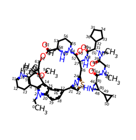 CCn1c(C2=C([C@H](C)OC)N=CCC2)c2c3cc(ccc31)-c1csc(n1)C[C@H](NC(=O)[C@H](C1CCCC1)N(C)C(=O)CN(C)C(=O)[C@@H]1N[C@@H]1C1CC1)C(=O)N1CCC[C@H](N1)C(=O)OCC(C)(C)C2